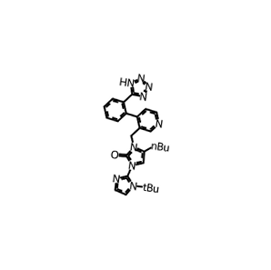 CCCCc1cn(-c2nccn2C(C)(C)C)c(=O)n1Cc1cnccc1-c1ccccc1-c1nnn[nH]1